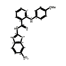 COc1ccc(Nc2ncccc2C(=O)Nc2nc3ccc([N+](=O)[O-])cc3s2)cc1